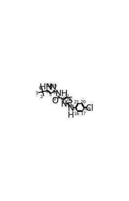 CC(C)(C)c1cc(NC(=O)c2csc(Nc3ccc(Cl)cc3)n2)n[nH]1